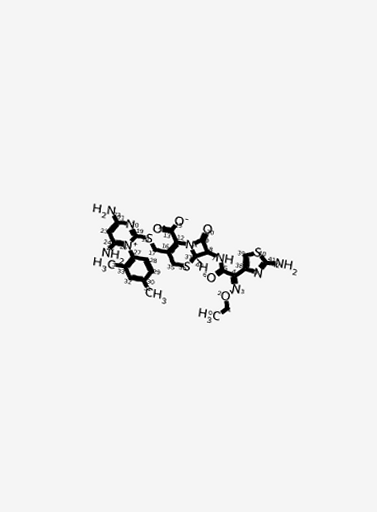 CCO/N=C(\C(=O)NC1C(=O)N2C(C(=O)[O-])=C(CSc3nc(N)cc(N)[n+]3-c3ccc(C)cc3C)CS[C@H]12)c1csc(N)n1